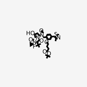 Cc1ncsc1-c1ccc(CN(C=O)[C@@H]2C[C@@H](O)CN2C(=O)[C@@H](N(C=O)C2(F)CC2)C(C)(C)C)c(OCCCC(=O)OC(C)(C)C)c1